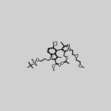 COCCOCCn1nc(C)c(-c2c(Cl)ccc3c2c(C)c(C(=O)OC)n3CCCO[Si](C)(C)C(C)(C)C)c1CSC(C)=O